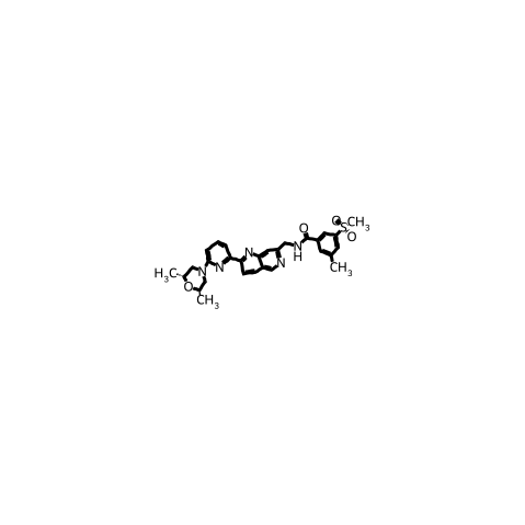 Cc1cc(C(=O)NCc2cc3nc(-c4cccc(N5C[C@@H](C)O[C@@H](C)C5)n4)ccc3cn2)cc(S(C)(=O)=O)c1